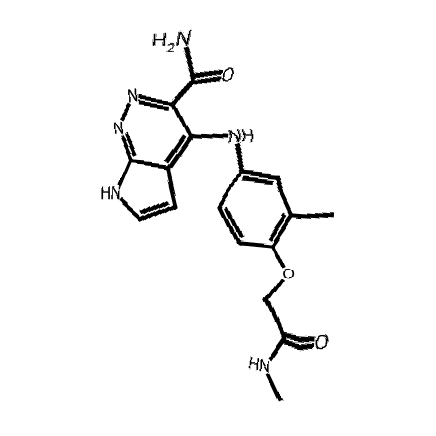 CNC(=O)COc1ccc(Nc2c(C(N)=O)nnc3[nH]ccc23)cc1C